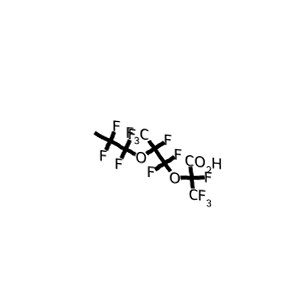 CC(F)(F)C(F)(F)OC(F)(C(F)(F)F)C(F)(F)OC(F)(C(=O)O)C(F)(F)F